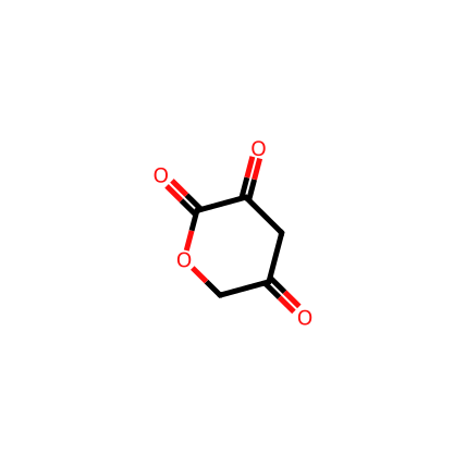 O=C1COC(=O)C(=O)C1